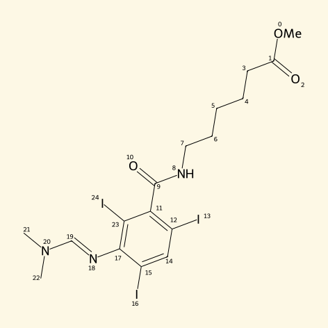 COC(=O)CCCCCNC(=O)c1c(I)cc(I)c(N=CN(C)C)c1I